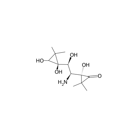 CC1(C)C(O)[C@@]1(O)[C@@H](O)[C@H](N)[C@@]1(O)C(=O)C1(C)C